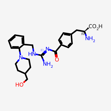 N/C(=N\C(=O)c1ccc(C[C@H](N)C(=O)O)cc1)NCc1ccccc1N1CCC(CO)CC1